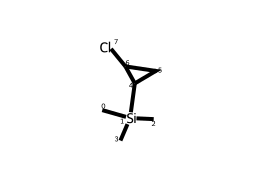 C[Si](C)(C)C1CC1Cl